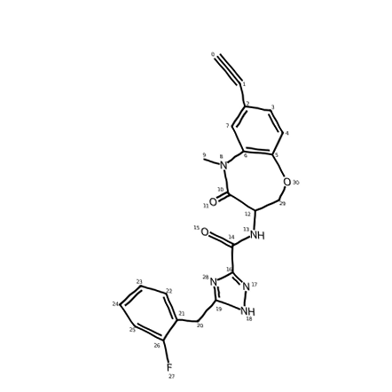 C#Cc1ccc2c(c1)N(C)C(=O)C(NC(=O)c1n[nH]c(Cc3ccccc3F)n1)CO2